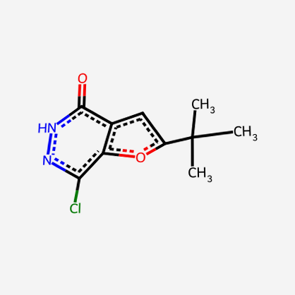 CC(C)(C)c1cc2c(=O)[nH]nc(Cl)c2o1